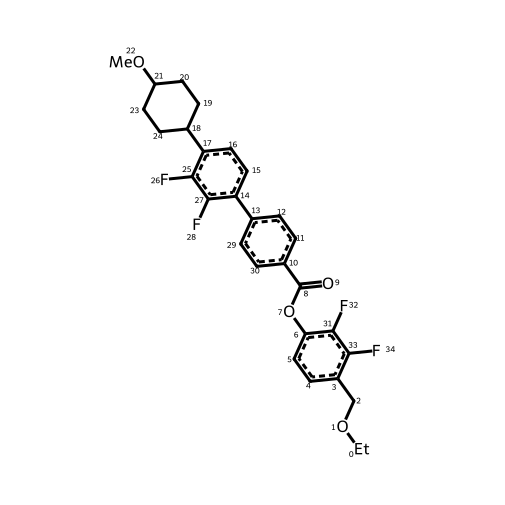 CCOCc1ccc(OC(=O)c2ccc(-c3ccc(C4CCC(OC)CC4)c(F)c3F)cc2)c(F)c1F